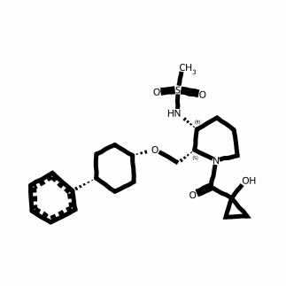 CS(=O)(=O)N[C@@H]1CCCN(C(=O)C2(O)CC2)[C@@H]1CO[C@H]1CC[C@@H](c2ccccc2)CC1